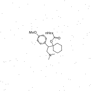 CCCCCCC(=O)OC1(C(CN(C)C)c2ccc(OC)cc2)CCCCC1